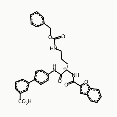 O=C(NCCC[C@H](NC(=O)c1cc2ccccc2o1)C(=O)Nc1ccc(-c2cccc(C(=O)O)c2)cc1)OCc1ccccc1